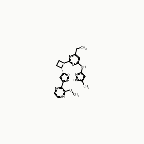 CCc1cc(Nc2cc(C)[nH]n2)nc(N2CC[C@H]2c2cc(-c3nccnc3OC)no2)n1